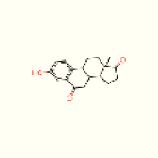 C[C@]12CCC3c4ccc(O)cc4C(=O)CC3C1CCC2=O